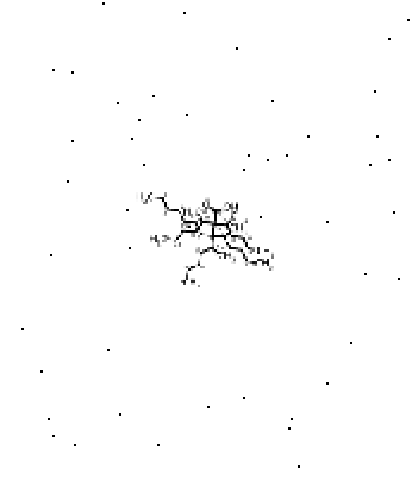 CCCCCCCC(C(C)CCCC)(C(C)CCCC)C(C(=O)O)(C(C)CCCC)C(C)CCCC